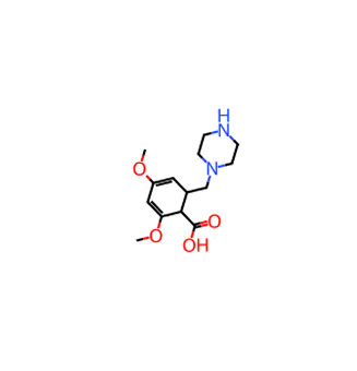 COC1=CC(CN2CCNCC2)C(C(=O)O)C(OC)=C1